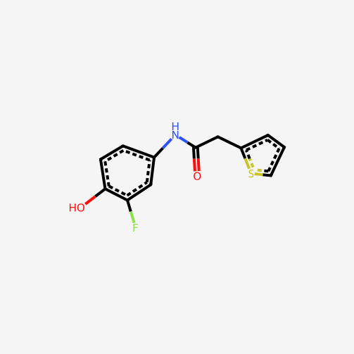 O=C(Cc1cccs1)Nc1ccc(O)c(F)c1